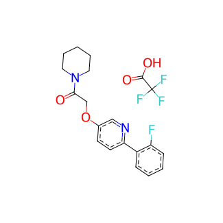 O=C(COc1ccc(-c2ccccc2F)nc1)N1CCCCC1.O=C(O)C(F)(F)F